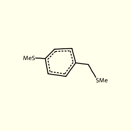 CSCc1ccc(SC)cc1